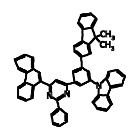 CC1(C)c2ccccc2-c2ccc(-c3cc(-c4cc(-c5cc6ccccc6c6ccccc56)nc(-c5ccccc5)n4)cc(-n4c5ccccc5c5ccccc54)c3)cc21